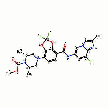 Cc1cn2cc(NC(=O)c3ccc(N4C[C@@H](C)N(C(=O)OC(C)(C)C)[C@@H](C)C4)c4c3OC(F)(F)O4)cc(F)c2n1